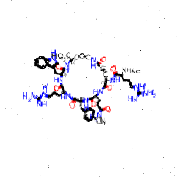 CC(=O)N[C@@H](CCCNC(=N)N)C(=O)N[C@H]1CCC(=O)NCCC[C@@H](C(=O)O)NC(=O)[C@H](Cc2c[nH]c3ccccc23)NC(=O)[C@H](CCCNC(=N)N)NC(=O)[C@@H](Cc2ccc(C#N)cc2)NC(=O)[C@H](CCC(N)=O)NC1=O